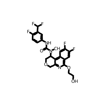 CN(C(=O)Nc1ccc(F)c(C(F)F)c1)C1COCc2nc(OCCO)c3cc(F)c(F)cc3c21